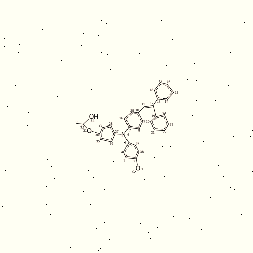 COc1ccc(N(c2ccc(C=C(c3ccccc3)c3ccccc3)cc2)c2ccc(OC(C)O)cc2)cc1